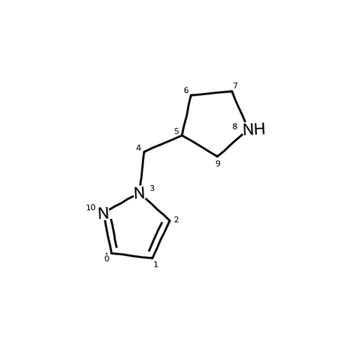 [c]1ccn(CC2CCNC2)n1